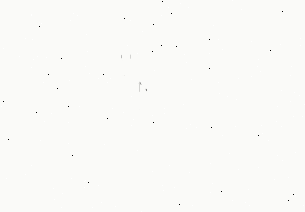 C=CCN1C(=O)CCc2c[c]ccc21